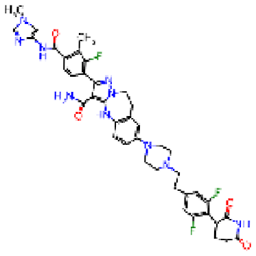 Cc1c(C(=O)Nc2cn(C)cn2)ccc(-c2nn3c(c2C(N)=O)Nc2ccc(N4CCN(CCc5cc(F)c(C6CCC(=O)NC6=O)c(F)c5)CC4)cc2CC3)c1F